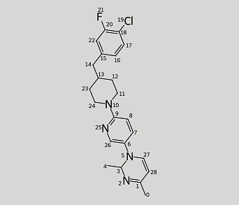 CC1=NC(C)N(c2ccc(N3CCC(Cc4ccc(Cl)c(F)c4)CC3)nc2)C=C1